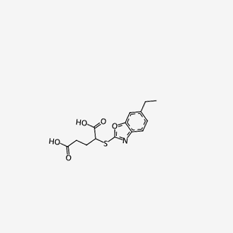 CCc1ccc2nc(SC(CCC(=O)O)C(=O)O)oc2c1